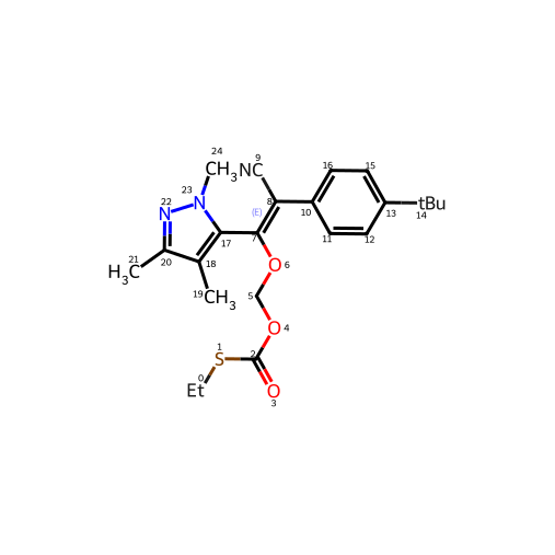 CCSC(=O)OCO/C(=C(/C#N)c1ccc(C(C)(C)C)cc1)c1c(C)c(C)nn1C